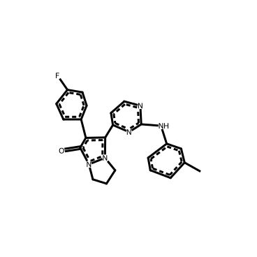 Cc1cccc(Nc2nccc(-c3c(-c4ccc(F)cc4)c(=O)n4n3CCC4)n2)c1